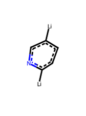 [Li][c]1cc[c]([Li])nc1